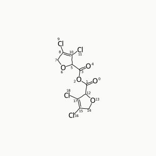 O=C(OC(=O)C1OCC(Cl)=C1Cl)C1OCC(Cl)=C1Cl